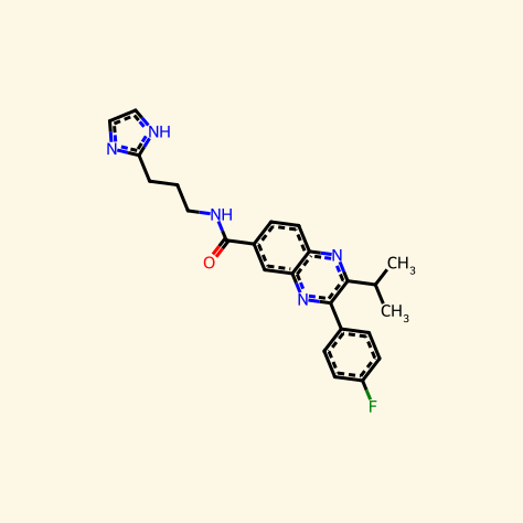 CC(C)c1nc2ccc(C(=O)NCCCc3ncc[nH]3)cc2nc1-c1ccc(F)cc1